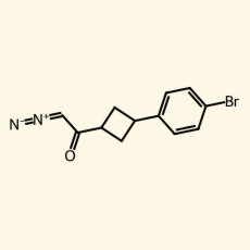 [N-]=[N+]=CC(=O)C1CC(c2ccc(Br)cc2)C1